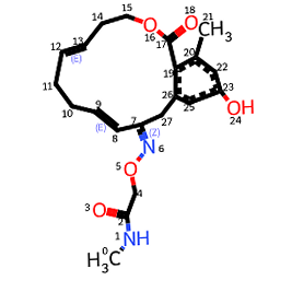 CNC(=O)CO/N=C1\C=C\CC/C=C/CCOC(=O)c2c(C)cc(O)cc2C1